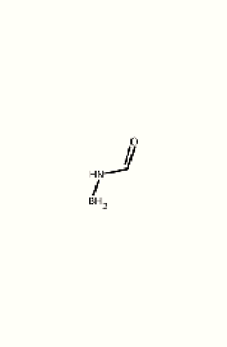 BNC=O